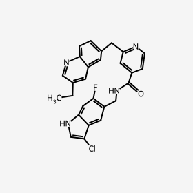 CCc1cnc2ccc(Cc3cc(C(=O)NCc4cc5c(Cl)c[nH]c5cc4F)ccn3)cc2c1